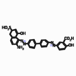 Nc1ccc2c(c1/N=N/c1ccc(-c3ccc(/N=N/c4ccc(O)c(C(=O)O)c4)cc3)cc1)C(O)=CC(S(=O)(=O)O)C2